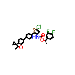 CC(=O)C1(c2ccc(-c3ccc(-c4sc(Cl)cc4NC(=O)O[C@H](C)c4ccc(F)c(F)c4)cc3)cc2)CC1